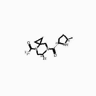 CC[C@H]1CN(C(=O)C(F)(F)F)C2(CC2)CN1C(=O)[C@@H]1CC[C@@H](C)N1